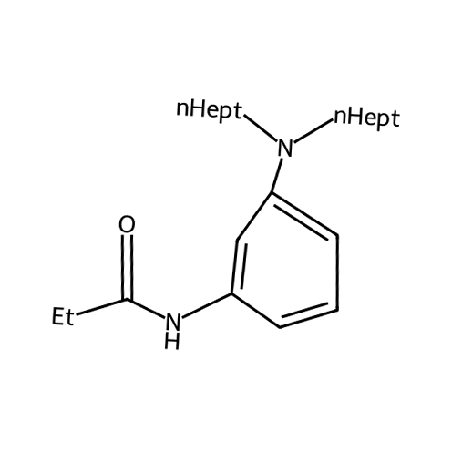 CCCCCCCN(CCCCCCC)c1cccc(NC(=O)CC)c1